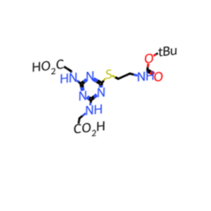 CC(C)(C)OC(=O)NCCSc1nc(NCC(=O)O)nc(NCC(=O)O)n1